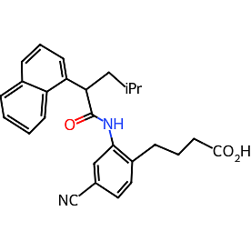 CC(C)CC(C(=O)Nc1cc(C#N)ccc1CCCC(=O)O)c1cccc2ccccc12